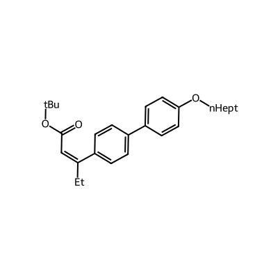 CCCCCCCOc1ccc(-c2ccc(/C(=C\C(=O)OC(C)(C)C)CC)cc2)cc1